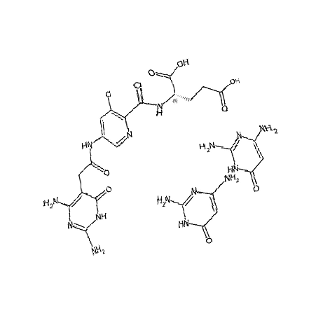 Nc1cc(=O)[nH]c(N)n1.Nc1cc(=O)[nH]c(N)n1.Nc1nc(N)c(CC(=O)Nc2cnc(C(=O)N[C@@H](CCC(=O)O)C(=O)O)c(Cl)c2)c(=O)[nH]1